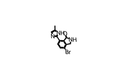 Cc1cnc(-c2ccc(Br)c3c2C(=O)NC3)[nH]1